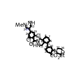 CCOC(=O)c1ccc(-c2cccc3c2CNN(C(=O)c2c(Cl)cc(/C(C=N)=C/NC)cc2Cl)C3)cc1N1CCOCC1